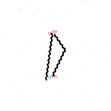 CCCCCCCC/C=C\CCCCCCCCCCCC(N)=O.CCCCCCCCCCCCCCCCCCCCCC(=O)O